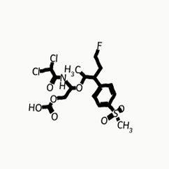 CC(OC(COC(=O)O)NC(=O)C(Cl)Cl)C(CCF)c1ccc(S(C)(=O)=O)cc1